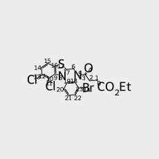 CCOC(=O)CCC(=O)N(Cc1nc2c(Cl)c(Cl)ccc2s1)c1ccccc1Br